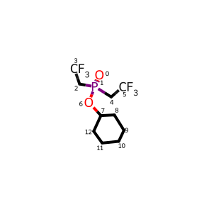 O=P(CC(F)(F)F)(CC(F)(F)F)OC1CCCCC1